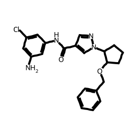 Nc1cc(Cl)cc(NC(=O)c2cnn(C3CCCC3OCc3ccccc3)c2)c1